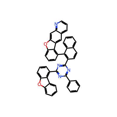 c1ccc(-c2nc(-c3ccc4ccccc4c3-c3cccc4oc5cc6ncccc6cc5c34)nc(-c3cccc4oc5ccccc5c34)n2)cc1